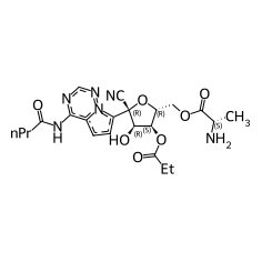 CCCC(=O)Nc1ncnn2c([C@]3(C#N)O[C@H](COC(=O)[C@H](C)N)[C@@H](OC(=O)CC)[C@H]3O)ccc12